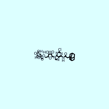 O=C(CC12CC3CC(CC(C3)C1)C2)Nc1nc(Cl)nc2c1ncn2C1OC(COP(=O)(O)CP(=O)(O)O)C(O)C1O